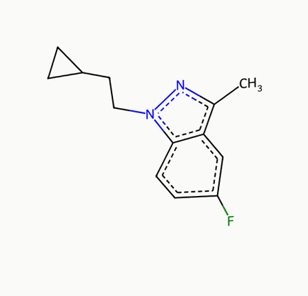 Cc1nn(CCC2CC2)c2ccc(F)cc12